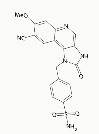 COc1cc2ncc3[nH]c(=O)n(Cc4ccc(S(N)(=O)=O)cc4)c3c2cc1C#N